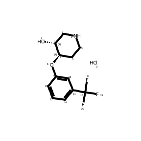 Cl.O[C@@H]1CNCC[C@H]1Oc1cccc(C(F)(F)F)c1